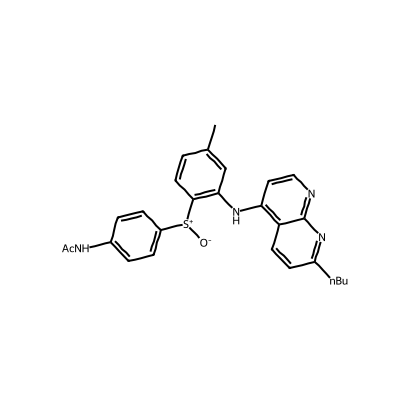 CCCCc1ccc2c(Nc3cc(C)ccc3[S+]([O-])c3ccc(NC(C)=O)cc3)ccnc2n1